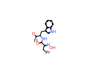 CCC(=O)C(Cc1c[nH]c2ccccc12)NC(=O)C(CC(C)C)=NO